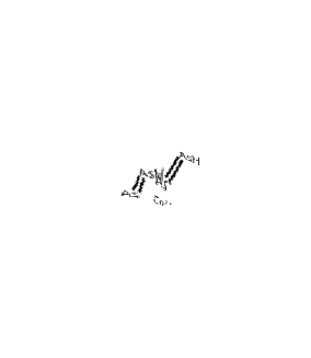 [As-]=[AsH].[As-]=[AsH].[Co+2]